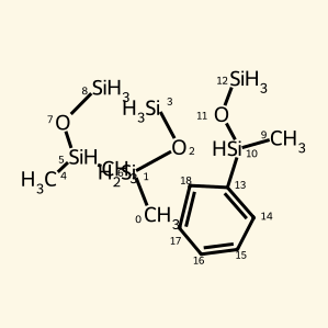 C[SiH2]O[SiH3].C[SiH](C)O[SiH3].C[SiH](O[SiH3])c1ccccc1